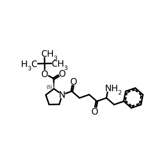 CC(C)(C)OC(=O)[C@@H]1CCCN1C(=O)CCC(=O)C(N)Cc1ccccc1